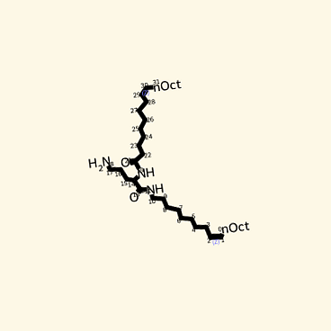 CCCCCCCC/C=C\CCCCCCCCNC(=O)C(CCCN)NC(=O)CCCCCCC/C=C\CCCCCCCC